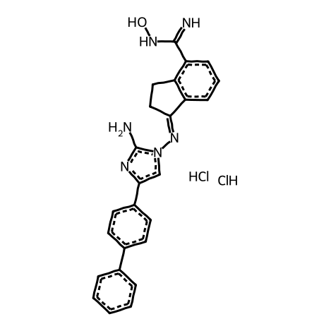 Cl.Cl.N=C(NO)c1cccc2c1CCC2=Nn1cc(-c2ccc(-c3ccccc3)cc2)nc1N